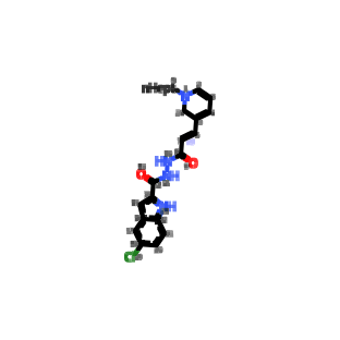 CCCCCCCN1C=CC=C(/C=C/C(=O)NNC(=O)c2cc3cc(Cl)ccc3[nH]2)C1